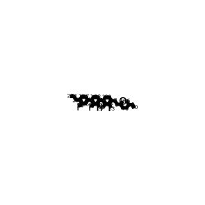 C=CC1CCC(CCc2ccc(-c3ccc(-c4ccc(CCC)c(F)c4)c(F)c3F)c(F)c2F)OC1